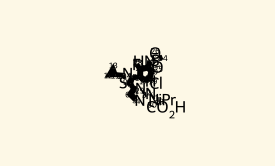 CC(C)N(Nc1nccc(-c2sc(C3CC3)nc2-c2cc(Cl)cc(NS(C)(=O)=O)c2F)n1)C(=O)O